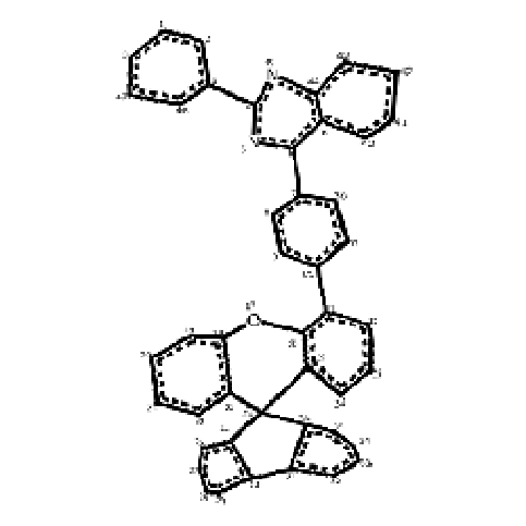 c1ccc(-c2nc(-c3ccc(-c4cccc5c4Oc4ccccc4C54c5ccccc5-c5ccccc54)cc3)c3ccccc3n2)cc1